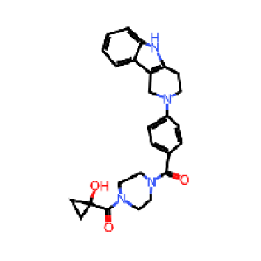 O=C(c1ccc(N2CCc3[nH]c4ccccc4c3C2)cc1)N1CCN(C(=O)C2(O)CC2)CC1